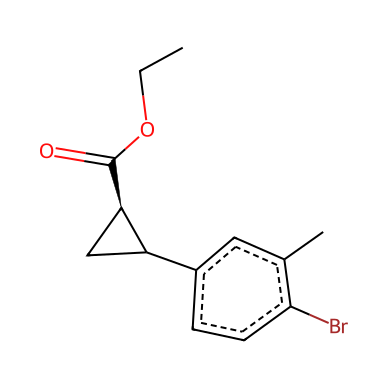 CCOC(=O)[C@@H]1CC1c1ccc(Br)c(C)c1